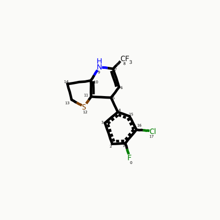 Fc1ccc(C2C=C(C(F)(F)F)NC3=C2SCC3)cc1Cl